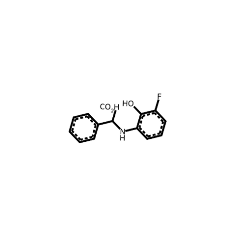 O=C(O)C(Nc1cccc(F)c1O)c1ccccc1